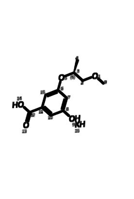 COC[C@H](C)Oc1cc(O)cc(C(=O)O)c1.[KH]